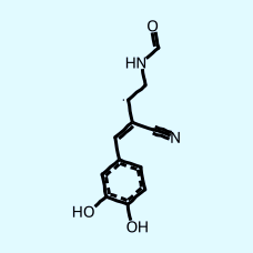 N#CC([CH]CNC=O)=Cc1ccc(O)c(O)c1